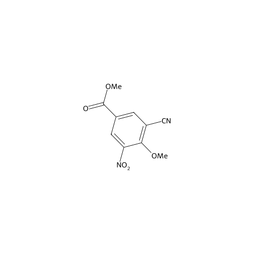 COC(=O)c1cc(C#N)c(OC)c([N+](=O)[O-])c1